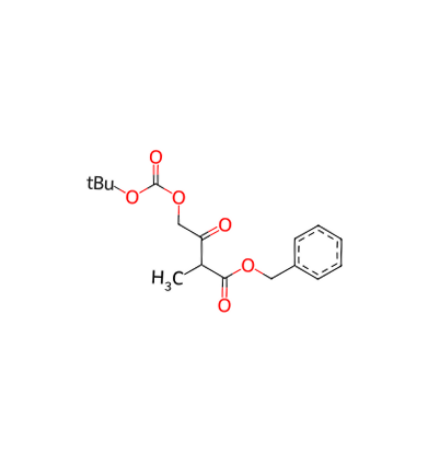 CC(C(=O)COC(=O)OC(C)(C)C)C(=O)OCc1ccccc1